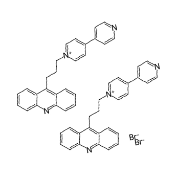 [Br-].[Br-].c1ccc2c(CCC[n+]3ccc(-c4ccncc4)cc3)c3ccccc3nc2c1.c1ccc2c(CCC[n+]3ccc(-c4ccncc4)cc3)c3ccccc3nc2c1